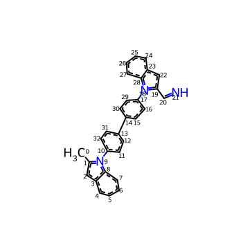 Cc1cc2ccccc2n1-c1ccc(-c2ccc(-n3c(C=N)cc4ccccc43)cc2)cc1